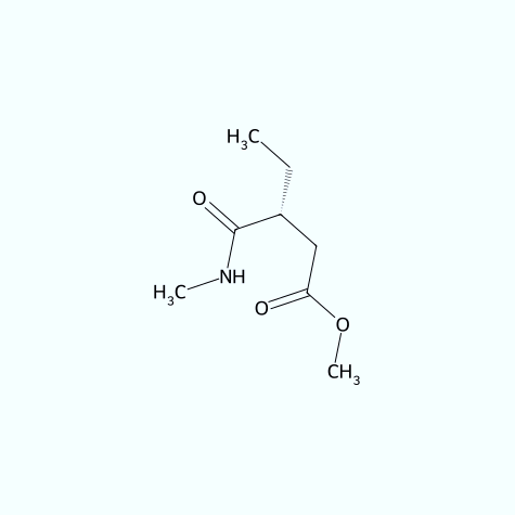 CC[C@H](CC(=O)OC)C(=O)NC